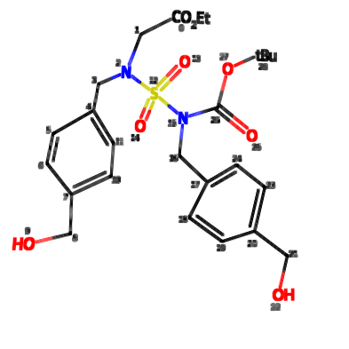 CCOC(=O)CN(Cc1ccc(CO)cc1)S(=O)(=O)N(Cc1ccc(CO)cc1)C(=O)OC(C)(C)C